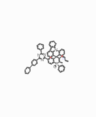 C=C/C=C\C1=C(C)P(=O)(c2ccccc2)c2ccc(-c3nc(-c4ccccc4)nc(-c4ccc(-c5ccccc5)cc4)n3)cc2C12c1ccccc1-n1c3ccccc3c3cccc2c31